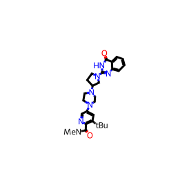 CNC(=O)c1ncc(N2CCN(C3CCN(c4nc5ccccc5c(=O)[nH]4)C3)CC2)cc1C(C)(C)C